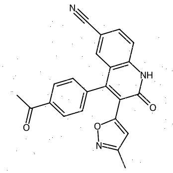 CC(=O)c1ccc(-c2c(-c3cc(C)no3)c(=O)[nH]c3ccc(C#N)cc23)cc1